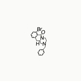 O=C1c2c(Br)cccc2C[C@@H]2CN(Cc3ccccc3)CCN12